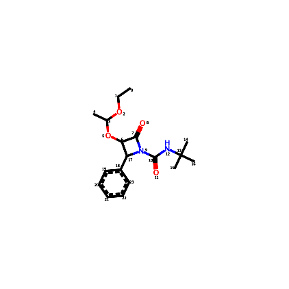 CCOC(C)OC1C(=O)N(C(=O)NC(C)(C)C)C1c1ccccc1